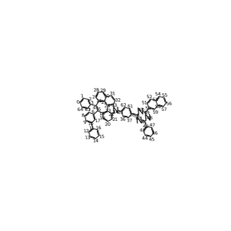 c1ccc(C2=C(c3cccc(-c4ccccc4)c3)c3cccc4c3c3c5c2cccc5ccc3n4-c2ccc(-c3nc(-c4ccccc4)nc(-c4ccc5ccccc5c4)n3)cc2)cc1